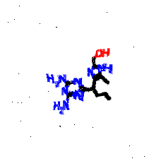 CCCC(c1nc(N)nc(N)n1)c1nc(CO)[nH]c1C